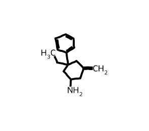 C=C1CC(N)CC(CC)(c2ccccc2)C1